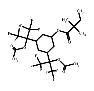 CCC(C)(C)C(=O)OC1CC(C(OC(C)=O)(C(F)(F)F)C(F)(F)F)CC(C(OC(C)=O)(C(F)(F)F)C(F)(F)F)C1